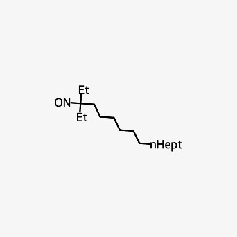 CCCCCCCCCCCCCC(CC)(CC)N=O